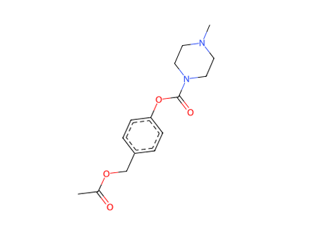 CC(=O)OCc1ccc(OC(=O)N2CCN(C)CC2)cc1